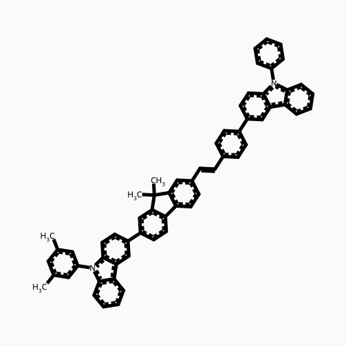 Cc1cc(C)cc(-n2c3ccccc3c3cc(-c4ccc5c(c4)C(C)(C)c4cc(/C=C/c6ccc(-c7ccc8c(c7)c7ccccc7n8-c7ccccc7)cc6)ccc4-5)ccc32)c1